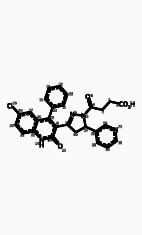 O=C(O)CCC(=O)N1N=C(c2c(-c3ccccc3)c3cc(Cl)ccc3[nH]c2=O)CC1c1cccnc1